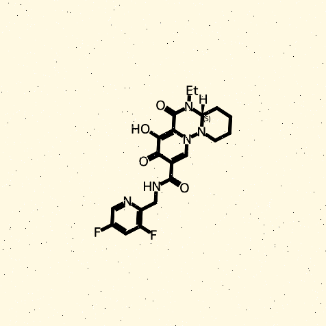 CCN1C(=O)c2c(O)c(=O)c(C(=O)NCc3ncc(F)cc3F)cn2N2CCCC[C@@H]12